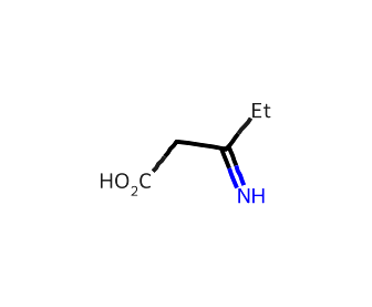 CCC(=N)CC(=O)O